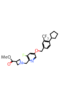 COC(=O)C1CN(Cc2ncc(OCc3ccc(C4CCCC4)c(C(F)(F)F)c3)cc2F)C1